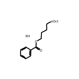 CCCCCCCCCCCCOC(=O)c1ccccc1.[KH]